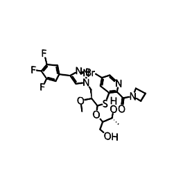 CO[C@@H](Cn1cc(-c2cc(F)c(F)c(F)c2)nn1)C(OC(CO)[C@@H](C)O)Sc1cc(Br)cnc1C(=O)N1CCC1